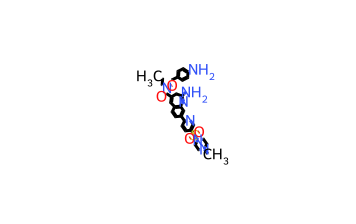 CCCN(OCc1ccc(N)cc1)C(=O)C1=Cc2ccc(-c3ccc(S(=O)(=O)N4CCN(C)CC4)cn3)cc2N=C(N)C1